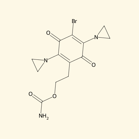 NC(=O)OCCC1=C(N2CC2)C(=O)C(Br)=C(N2CC2)C1=O